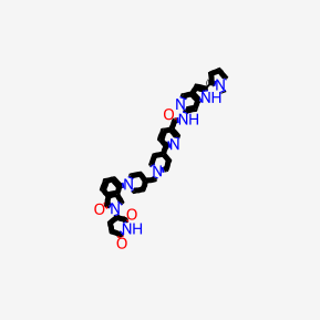 CN1CCC[C@@H]1c1cc2cnc(NC(=O)c3ccc(C4CCN(CC5CCN(c6cccc7c6CN(C6CCC(=O)NC6=O)C7=O)CC5)CC4)nc3)cc2[nH]1